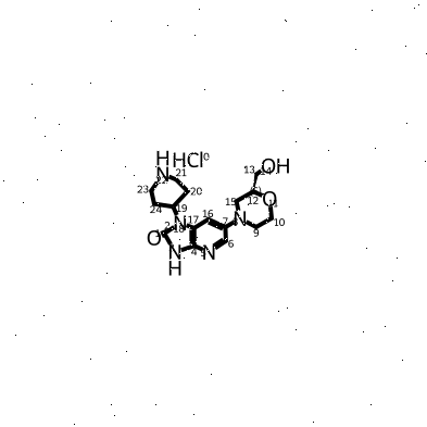 Cl.O=c1[nH]c2ncc(N3CCO[C@H](CO)C3)cc2n1C1CCNCC1